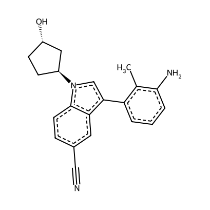 Cc1c(N)cccc1-c1cn([C@H]2CC[C@H](O)C2)c2ccc(C#N)cc12